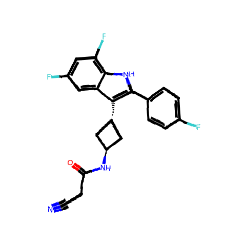 N#CCC(=O)N[C@H]1C[C@H](c2c(-c3ccc(F)cc3)[nH]c3c(F)cc(F)cc32)C1